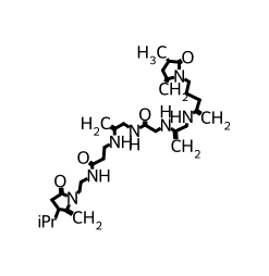 C=C(CCCN1C(=C)CC(C)C1=O)NCC(=C)NCC(=O)NCC(=C)NCCC(=O)NCCN1C(=C)C(C(C)C)CC1=O